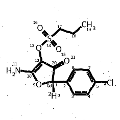 [2H][C@@]1(c2ccc(Cl)cc2)OC(N)=C(OS(=O)(=O)CCC)C1=O